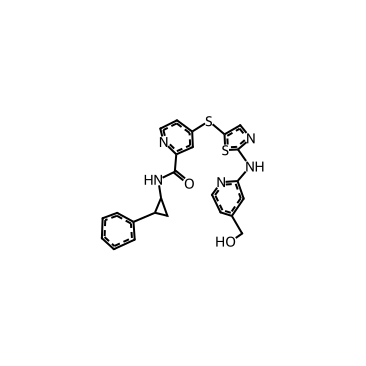 O=C(NC1CC1c1ccccc1)c1cc(Sc2cnc(Nc3cc(CO)ccn3)s2)ccn1